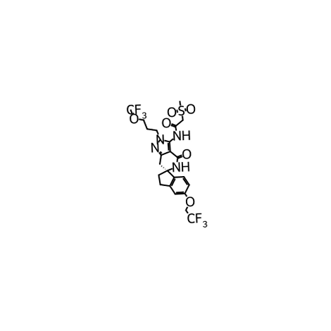 CS(=O)(=O)CC(=O)Nc1c2c(nn1CCCOC(F)(F)F)C[C@]1(CCc3cc(OCC(F)(F)F)ccc31)NC2=O